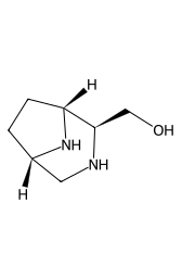 OC[C@H]1NC[C@@H]2CC[C@H]1N2